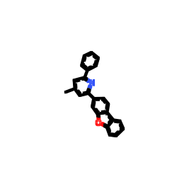 Cc1cc(-c2ccccc2)nc(-c2ccc3c(c2)oc2ccccc23)c1